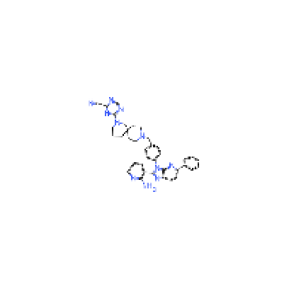 N#Cc1ncnc(N2CCCC3(CCN(Cc4ccc(-n5c(-c6cccnc6N)nc6ccc(-c7ccccc7)nc65)cc4)CC3)C2)n1